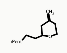 C=C1CCOC(CCCCCCC)C1